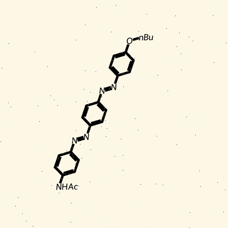 CCCCOc1ccc(/N=N/c2ccc(/N=N/c3ccc(NC(C)=O)cc3)cc2)cc1